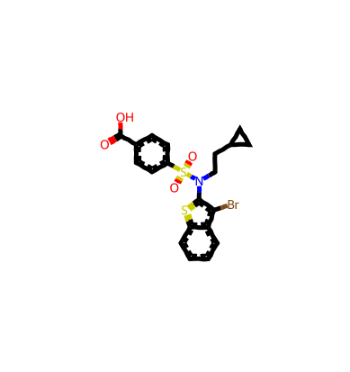 O=C(O)c1ccc(S(=O)(=O)N(CCC2CC2)c2sc3ccccc3c2Br)cc1